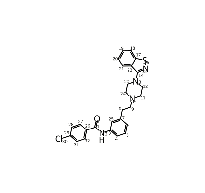 O=C(Nc1cccc(CCN2CCN(c3nsc4ccccc34)CC2)c1)c1ccc(Cl)cc1